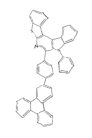 c1ccc(-n2c3ccccc3c3c4c(nc(-c5ccc(-c6ccc7c8ccccc8c8ccccc8c7c6)cc5)c32)sc2ccccc24)cc1